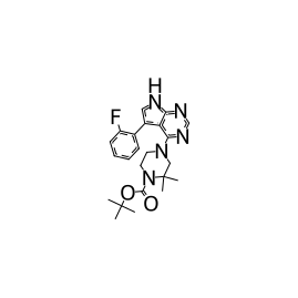 CC(C)(C)OC(=O)N1CCN(c2ncnc3[nH]cc(-c4ccccc4F)c23)CC1(C)C